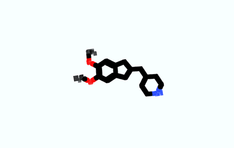 COc1cc2c(cc1OC)CC(CC1CCNCC1)C2